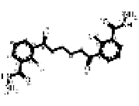 NNC(=O)c1cccc(C(=O)CCCCC(=O)c2cccc(C(=O)NN)c2Cl)c1Cl